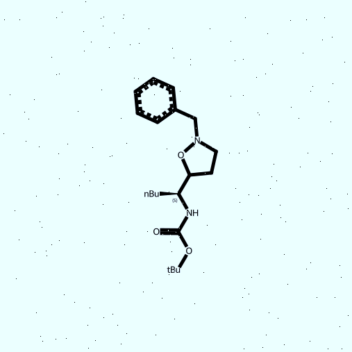 CCCC[C@H](NC(=O)OC(C)(C)C)C1CCN(Cc2ccccc2)O1